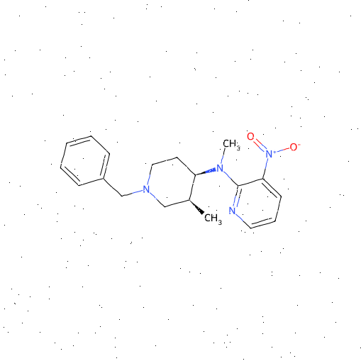 C[C@H]1CN(Cc2ccccc2)CC[C@H]1N(C)c1ncccc1[N+](=O)[O-]